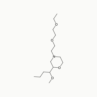 CCCC(OC)C1CN(CCOCCOCC)CCO1